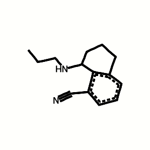 CCCNC1CCCc2cccc(C#N)c21